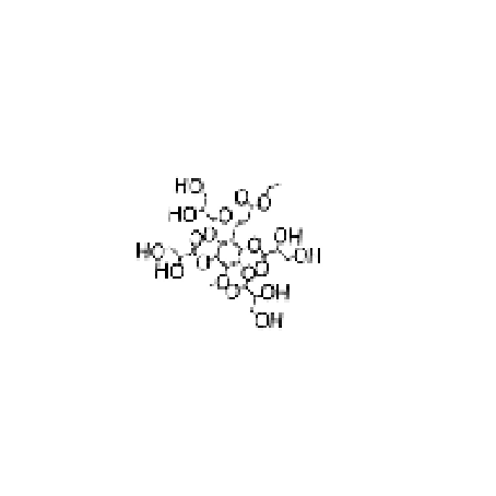 CCOC(=O)C=Cc1c(OC(=O)C(O)CO)c(OC(=O)C(O)CO)c(OC)c(OC(=O)C(O)CO)c1OC(=O)C(O)CO